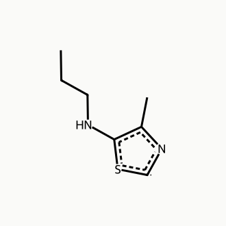 CCCNc1s[c]nc1C